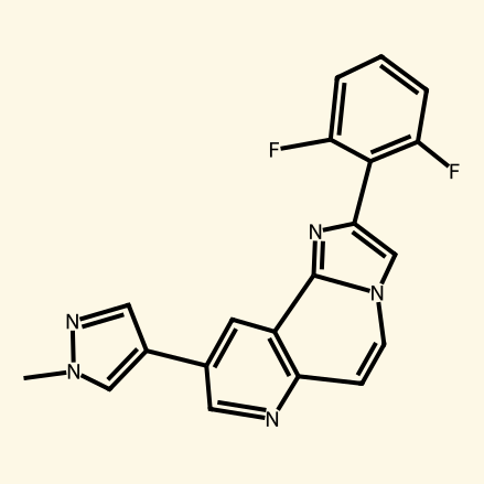 Cn1cc(-c2cnc3ccn4cc(-c5c(F)cccc5F)nc4c3c2)cn1